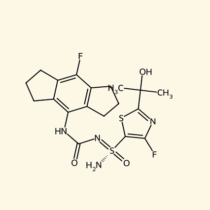 CC(C)(O)c1nc(F)c([S@@](N)(=O)=NC(=O)Nc2c3c(c(F)c4c2CCC4)CCC3)s1